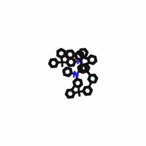 CC1(c2cccc(-c3cccc(-c4ccc(N(c5ccc6c(c5)-c5ccccc5C6(C)c5ccccc5)c5ccccc5-c5ccccc5)cc4)c3)c2)c2ccccc2-c2cc(N(c3ccccc3)c3ccc4c5ccccc5c5ccccc5c4c3)ccc21